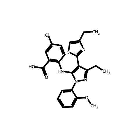 CCc1csc(-c2c(CC)nn(-c3ccccc3OC)c2Nc2ccc(Cl)cc2C(=O)O)n1